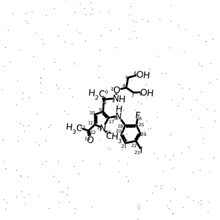 C=C(NOC(CO)CO)c1cc(C(C)=O)n(C)c1Nc1ccc(I)cc1F